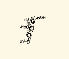 COc1c(Nc2ccc(OCCCO)nc2C)ncnc1OC1CCN(OC(=O)OC(C)C)CC1